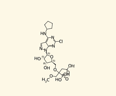 COCC(CC(=O)O)(OC[C@@H]1O[C@H](n2ncc3c(NC4CCCC4)nc(Cl)nc32)[C@@H](O)[C@H]1O)P(=O)(O)O